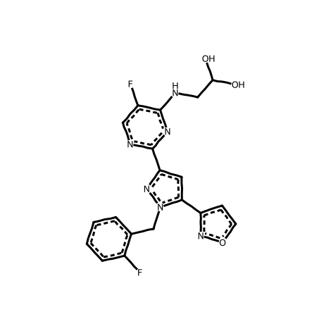 OC(O)CNc1nc(-c2cc(-c3ccon3)n(Cc3ccccc3F)n2)ncc1F